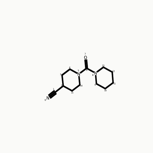 N#CC1CCN(C(=O)N2CCCCC2)CC1